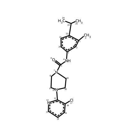 Cc1cc(NC(=O)N2CCN(c3ncccc3Cl)CC2)ccc1C(C)C